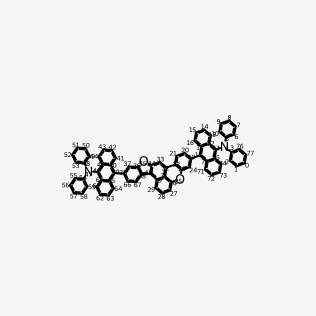 c1ccc(N(c2ccccc2)c2c3ccccc3c(-c3ccc4c(c3)Oc3cccc5c3c-4cc3oc4cc(-c6c7ccccc7c(N(c7ccccc7)c7ccccc7)c7ccccc67)ccc4c35)c3ccccc23)cc1